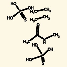 CC.CC.CNC(C)=O.OP(O)(O)=S.OP(O)(O)=S